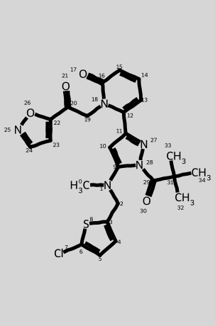 CN(Cc1ccc(Cl)s1)c1cc(-c2cccc(=O)n2CC(=O)c2ccno2)nn1C(=O)C(C)(C)C